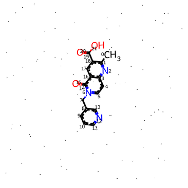 Cc1nc2ccn(Cc3cccnc3)c(=O)c2cc1C(=O)O